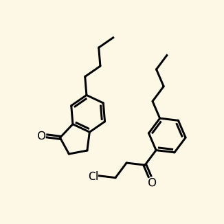 CCCCc1ccc2c(c1)C(=O)CC2.CCCCc1cccc(C(=O)CCCl)c1